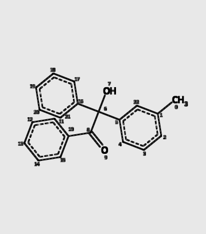 Cc1cccc(C(O)(C(=O)c2ccccc2)c2ccccc2)c1